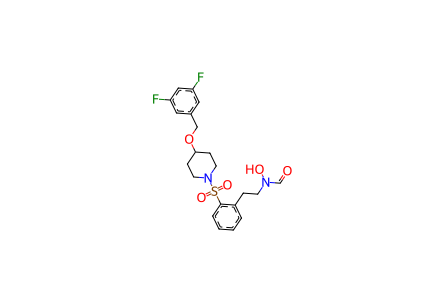 O=CN(O)CCc1ccccc1S(=O)(=O)N1CCC(OCc2cc(F)cc(F)c2)CC1